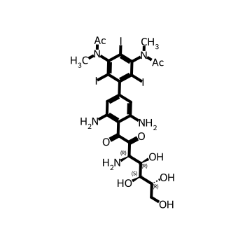 CC(=O)N(C)c1c(I)c(-c2cc(N)c(C(=O)C(=O)[C@H](N)[C@@H](O)[C@H](O)[C@H](O)CO)c(N)c2)c(I)c(N(C)C(C)=O)c1I